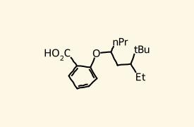 CCCC(CC(CC)C(C)(C)C)Oc1ccccc1C(=O)O